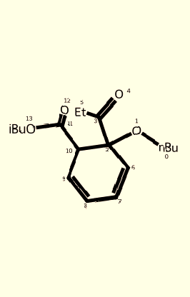 CCCCOC1(C(=O)CC)C=CC=CC1C(=O)OCC(C)C